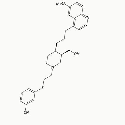 COc1ccc2nccc(CCC[C@@H]3CCN(CCSc4cccc(C#N)c4)C[C@@H]3CO)c2c1